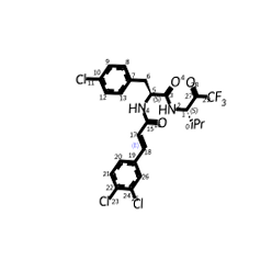 CC(C)[C@H](NC(=O)[C@H](Cc1ccc(Cl)cc1)NC(=O)/C=C/c1ccc(Cl)c(Cl)c1)C(=O)C(F)(F)F